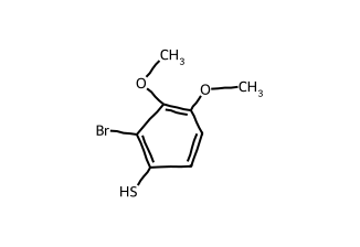 COc1ccc(S)c(Br)c1OC